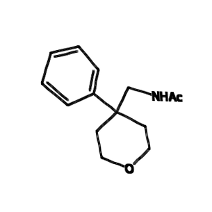 CC(=O)NCC1(c2ccccc2)CCOCC1